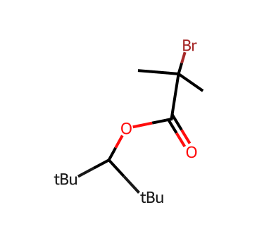 CC(C)(Br)C(=O)OC(C(C)(C)C)C(C)(C)C